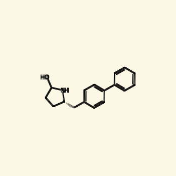 OC1CC[C@@H](Cc2ccc(-c3ccccc3)cc2)N1